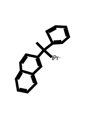 C[C](C)C(C)(c1ccccc1)c1ccc2ccccc2c1